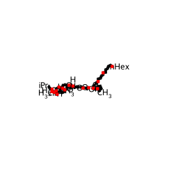 CCCCCC/C=C\CCCCCCCCCCOCC(CN1CCCC1C)OCCOCCOCCNC(=O)O[C@H]1CC[C@@]2(C)C(=CC[C@H]3[C@@H]4CC[C@H]([C@H](C)CCCC(C)C)[C@@]4(C)CC[C@@H]32)C1